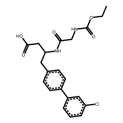 CCOC(=O)NCC(=O)NC(CC(=O)O)Cc1ccc(-c2cccc(Cl)c2)cc1